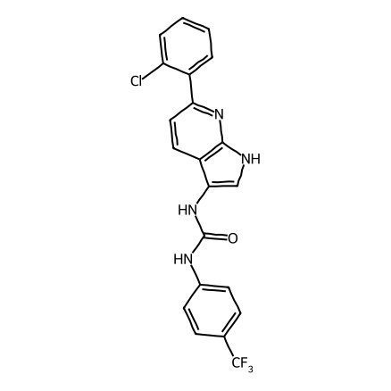 O=C(Nc1ccc(C(F)(F)F)cc1)Nc1c[nH]c2nc(-c3ccccc3Cl)ccc12